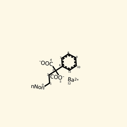 CCCCCCCCCCCC(C(=O)[O-])(C(=O)[O-])c1ccccc1.[Ba+2]